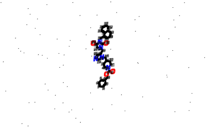 O=C(OCc1ccccc1)N1CCC(Cn2cncc2CN2CC(=O)N(Cc3cccc4ccccc34)C2=O)CC1